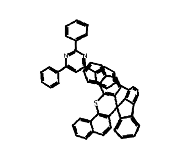 c1ccc(-c2cc(-c3ccc(-c4cccc5c4C4(c6ccccc6-5)c5ccc6ccccc6c5Sc5c4ccc4ccccc54)cc3)nc(-c3ccccc3)n2)cc1